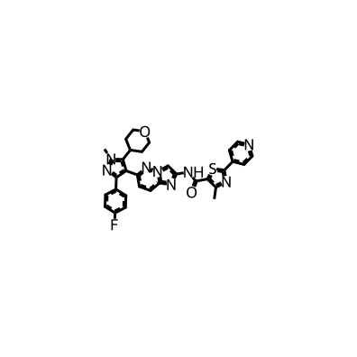 Cc1nc(-c2ccncc2)sc1C(=O)Nc1cn2nc(-c3c(-c4ccc(F)cc4)nn(C)c3C3CCOCC3)ccc2n1